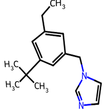 CCc1cc(Cn2ccnc2)cc(C(C)(C)C)c1